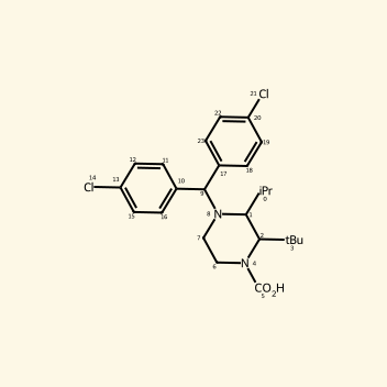 CC(C)C1C(C(C)(C)C)N(C(=O)O)CCN1C(c1ccc(Cl)cc1)c1ccc(Cl)cc1